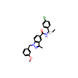 CC[C@H](NC(=O)c1ccc2c(c1)c(C)nn2Cc1cccc(OC)c1)c1ccc(Br)cc1